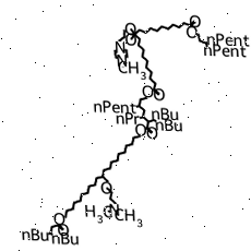 CCCCCC(CCCCC)CCOC(=O)CCCCCCCCCC1(CCCCCCCCCC(=O)OCCC(CCCCC)CC(CCC)C(C(=O)OCCCCCCCCCCC(CCCCCCCCCCOC(=O)CC(CCCC)CCCC)COCCCN(C)C)C(CCCC)CCCC)OCC(CN2CCN(C)CC2)O1